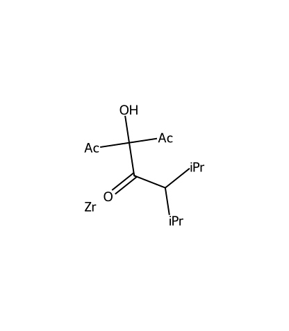 CC(=O)C(O)(C(C)=O)C(=O)C(C(C)C)C(C)C.[Zr]